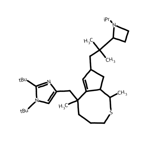 CC1SCCCC(C)(Cc2cn(C(C)(C)C)c(C(C)(C)C)n2)C2=CC(CC(C)(C)C3CCN3C(C)C)CC21